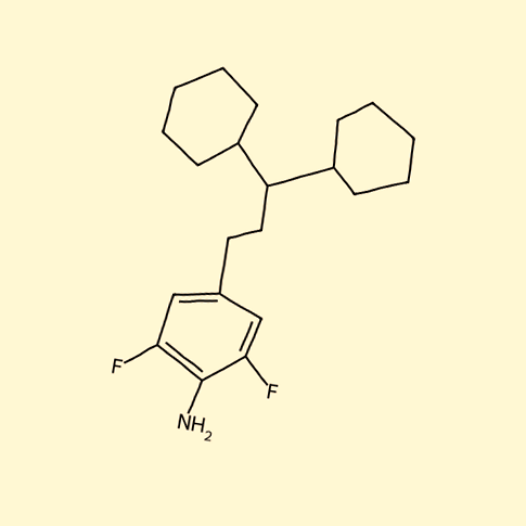 Nc1c(F)cc(CCC(C2CCCCC2)C2CCCCC2)cc1F